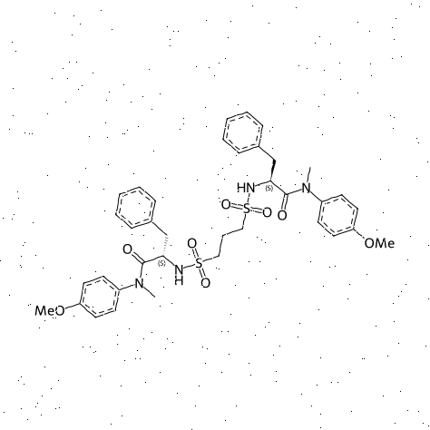 COc1ccc(N(C)C(=O)[C@H](Cc2ccccc2)NS(=O)(=O)CCCS(=O)(=O)N[C@@H](Cc2ccccc2)C(=O)N(C)c2ccc(OC)cc2)cc1